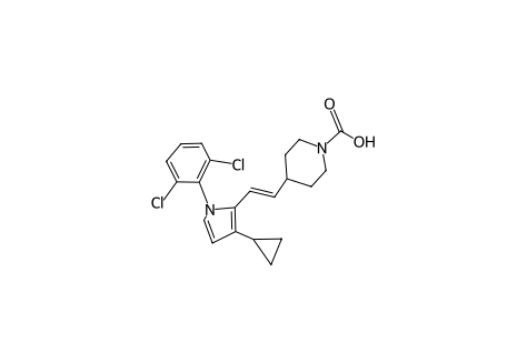 O=C(O)N1CCC(C=Cc2c(C3CC3)ccn2-c2c(Cl)cccc2Cl)CC1